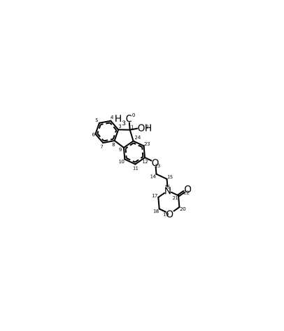 CC1(O)c2ccccc2-c2ccc(OCCN3CCOCC3=O)cc21